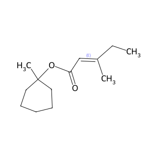 CC/C(C)=C/C(=O)OC1(C)CCCCC1